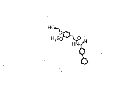 C#CCOc1ccc(CCC(=O)NC(C#N)c2ccc(-c3ccccc3)cc2)cc1OC